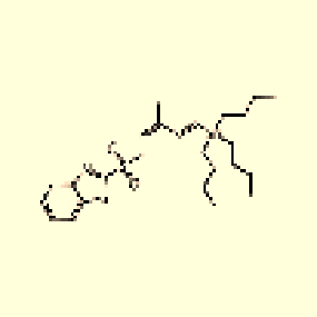 CCC[CH2][Sn](/[CH]=C/C(C)=C\CS(=O)(=O)c1nc2ccccc2s1)([CH2]CCC)[CH2]CCC